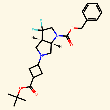 CC(C)(C)OC(=O)C1CC(N2C[C@@H]3[C@H](C2)N(C(=O)OCc2ccccc2)CC3(F)F)C1